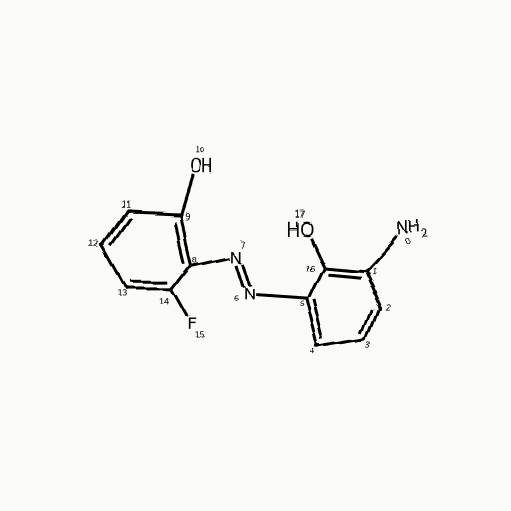 Nc1cccc(N=Nc2c(O)cccc2F)c1O